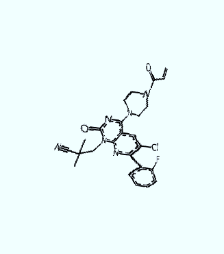 C=CC(=O)N1CCN(c2nc(=O)n(CC(C)(C)C#N)c3nc(-c4ccccc4F)c(Cl)cc23)CC1